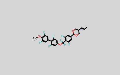 C/C=C/C1COC(c2cc(F)c(C(F)(F)Oc3cc(F)c(-c4cc(F)c(OC(F)(F)F)c(F)c4)c(F)c3)c(F)c2)OC1